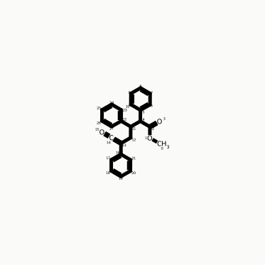 COC(=O)C(c1ccccc1)C(CC(=C=O)c1ccccc1)c1ccccc1